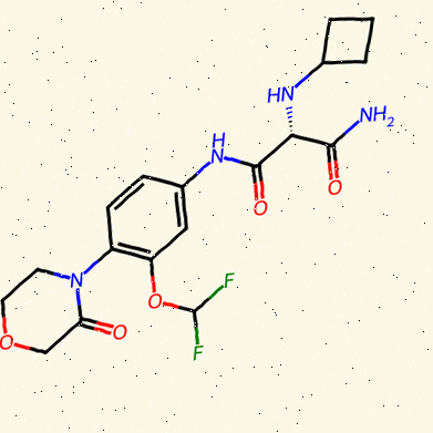 NC(=O)[C@@H](NC1CCC1)C(=O)Nc1ccc(N2CCOCC2=O)c(OC(F)F)c1